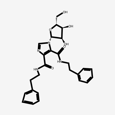 O=C(NCCc1ccccc1)c1ncn([C@@H]2O[C@H](CO)[C@@H](O)[C@H]2O)c1C(=O)NCCc1ccccc1